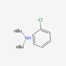 CCCCNCCCC.Clc1ccccc1